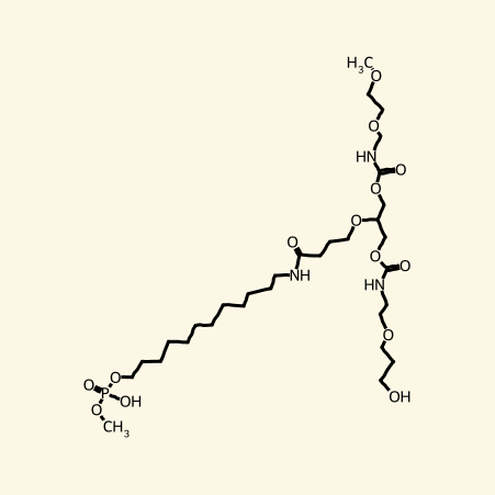 COCCOCNC(=O)OCC(COC(=O)NCCOCCCO)OCCCC(=O)NCCCCCCCCCCCCOP(=O)(O)OC